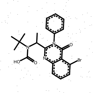 CC(c1nc2cccc(Br)c2c(=O)n1-c1ccccc1)N(C(=O)O)C(C)(C)C